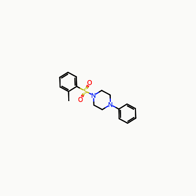 Cc1ccccc1S(=O)(=O)N1CCN(c2ccccc2)CC1